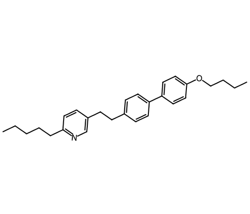 CCCCCc1ccc(CCc2ccc(-c3ccc(OCCCC)cc3)cc2)cn1